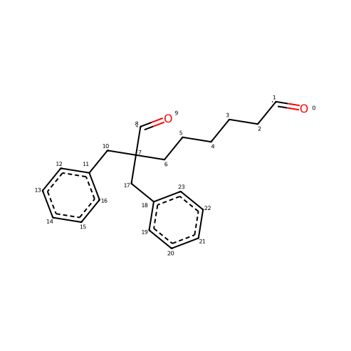 O=[C]CCCCCC([C]=O)(Cc1ccccc1)Cc1ccccc1